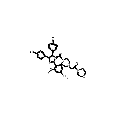 CCOc1cc(C(F)(F)F)ccc1C1=NC(c2ccc(Cl)cc2)C(c2ccc(Cl)cc2)N1C(=O)N1CCN(CC(=O)N2CCOCC2)CC1